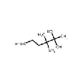 CCCCCCCC(C)(C)C(C)(O)O